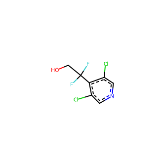 OCC(F)(F)c1c(Cl)cncc1Cl